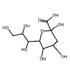 O=C(O)C1(O)CC(O)C(O)C(C(O)C(O)CO)O1